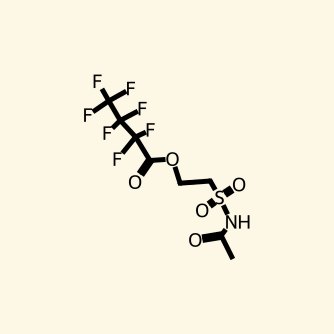 CC(=O)NS(=O)(=O)CCOC(=O)C(F)(F)C(F)(F)C(F)(F)F